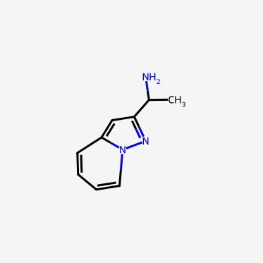 CC(N)c1cc2ccccn2n1